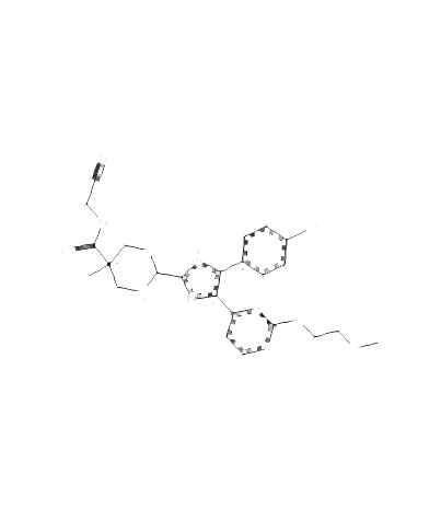 COCCOc1nccc(-c2[nH]c(C3OCC(C)(C(=O)NCC#N)CO3)nc2-c2ccc(F)cc2)n1